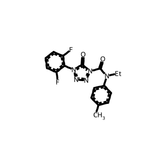 CCN(C(=O)n1nnn(-c2c(F)cccc2F)c1=O)c1ccc(C)cc1